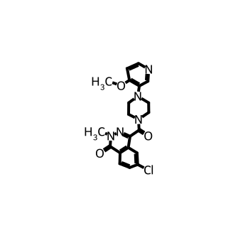 COc1ccncc1N1CCN(C(=O)c2nn(C)c(=O)c3ccc(Cl)cc23)CC1